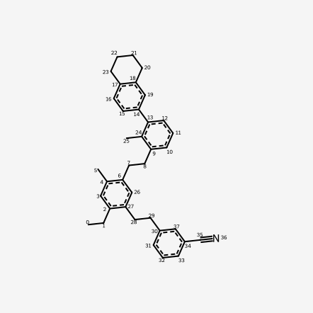 CCc1cc(C)c(CCc2cccc(-c3ccc4c(c3)CCCC4)c2C)cc1CCc1cccc(C#N)c1